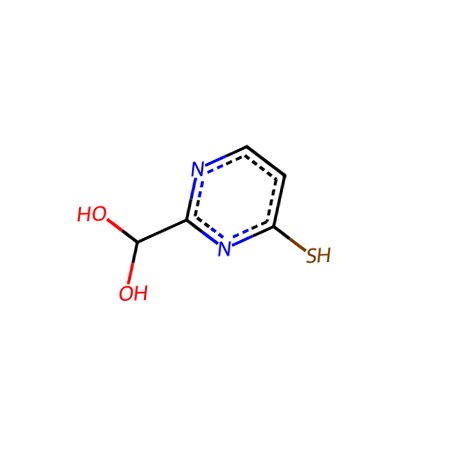 OC(O)c1nccc(S)n1